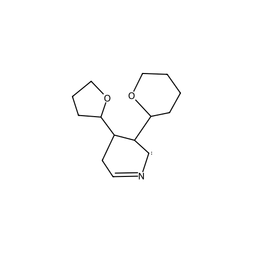 [C]1N=CCC(C2CCCO2)C1C1CCCCO1